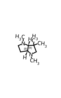 CN1CC(C)(C)[C@@H]2[C@H]1CCN2C